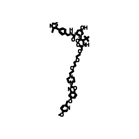 COc1ccc(COc2ccc3oc(N4CCN(CCOCCOCCOCC(=O)NC(C(=O)N5C[C@H](O)C[C@H]5C(=O)NCc5ccc(-c6scnc6C)cc5)C(C)(C)C)CC4)nc3c2)nc1